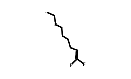 [CH2]CSCCCCC=C(F)F